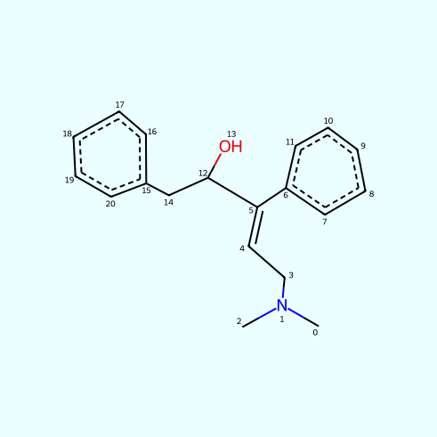 CN(C)C/C=C(\c1ccccc1)C(O)Cc1ccccc1